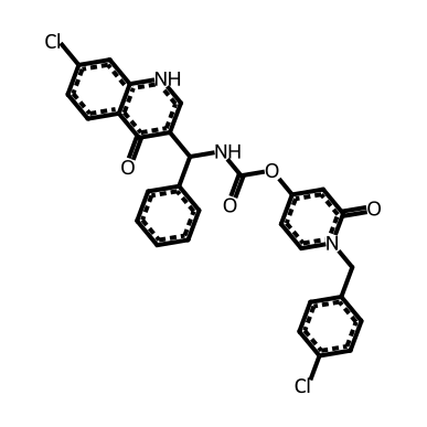 O=C(NC(c1ccccc1)c1c[nH]c2cc(Cl)ccc2c1=O)Oc1ccn(Cc2ccc(Cl)cc2)c(=O)c1